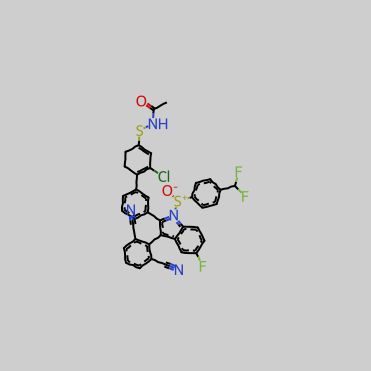 CC(=O)NSC1=CC(Cl)=C(c2cccc(-c3c(-c4c(C#N)cccc4C#N)c4cc(F)ccc4n3[S+]([O-])c3ccc(C(F)F)cc3)c2)CC1